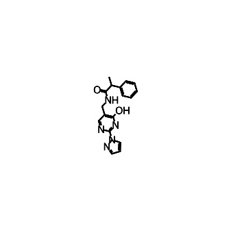 CC(C(=O)NCc1cnc(-n2cccn2)nc1O)c1ccccc1